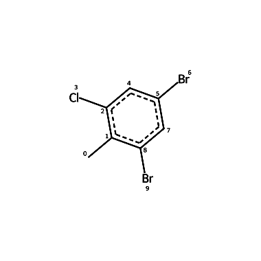 Cc1c(Cl)cc(Br)cc1Br